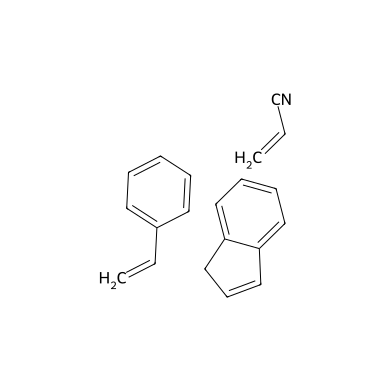 C1=Cc2ccccc2C1.C=CC#N.C=Cc1ccccc1